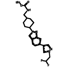 CC(C)(C)OC(=O)NCC1CCC(n2cc3ccc(-c4cnn(CC(F)F)c4)cc3n2)CC1